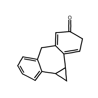 O=C1C=C2Cc3ccccc3C3CC3C2=CC1